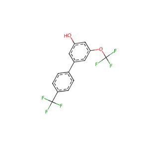 Oc1cc(OC(F)(F)F)cc(-c2ccc(C(F)(F)F)cc2)c1